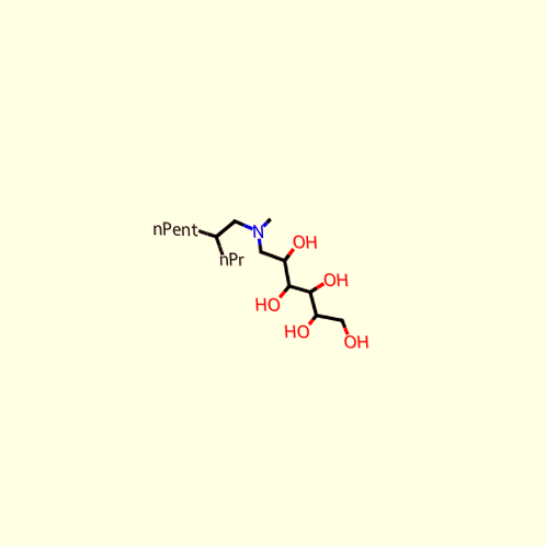 CCCCCC(CCC)CN(C)CC(O)C(O)C(O)C(O)CO